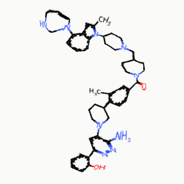 Cc1cc(C(=O)N2CCC(CN3CCC(n4c(C)cc5c(N6C=CCNC6)cccc54)CC3)CC2)ccc1C1CCCN(c2cc(-c3ccccc3O)nnc2N)C1